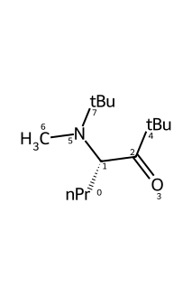 CCC[C@@H](C(=O)C(C)(C)C)N(C)C(C)(C)C